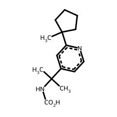 CC1(c2cc(C(C)(C)NC(=O)O)ccn2)CCCC1